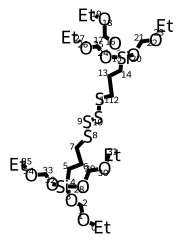 CCOCO[Si](CCCSSSSCCC[Si](OCOCC)(OCOCC)OCOCC)(OCOCC)OCOCC